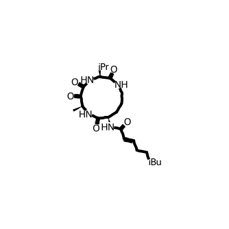 CCC(C)CC/C=C/C(=O)N[C@H]1CCCNC(=O)[C@H](C(C)C)NC(=O)C(=O)[C@H](C)NC1=O